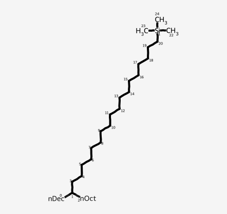 CCCCCCCCCCC(CCCCCCCC)CCCCCCCCCCCCCCCCCC[Si](C)(C)C